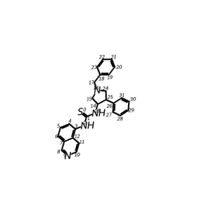 S=C(Nc1cccc2cnccc12)NC1CN(Cc2ccccc2)CC1c1ccccc1